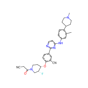 Cc1cc(Nc2ccnc(-c3ccc(O[C@H]4CCN(C(=O)CC#N)C[C@H]4F)c(C#N)c3)n2)ccc1C1CCN(C)CC1